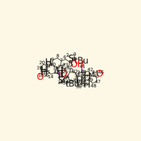 CC(C)(C)[Si](C)(C)C1(O)CC2CC[C@@H]3[C@@H](C(I)C[C@]4(C)C(=O)CC[C@@H]34)[C@@]2(C)C(OC2([Si](C)(C)C(C)(C)C)CC[C@@]3(C)C(CC[C@@H]4[C@H]3C(I)C[C@]3(C)C(=O)CC[C@@H]43)C2)C1